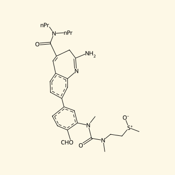 CCCN(CCC)C(=O)C1=Cc2ccc(-c3ccc(C=O)c(N(C)C(=O)N(C)CC[S+](C)[O-])c3)cc2N=C(N)C1